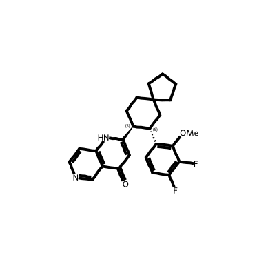 COc1c([C@H]2CC3(CCCC3)CC[C@@H]2c2cc(=O)c3cnccc3[nH]2)ccc(F)c1F